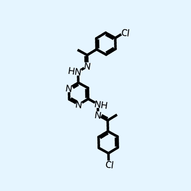 C/C(=N\Nc1cc(N/N=C(\C)c2ccc(Cl)cc2)ncn1)C1=CCC(Cl)C=C1